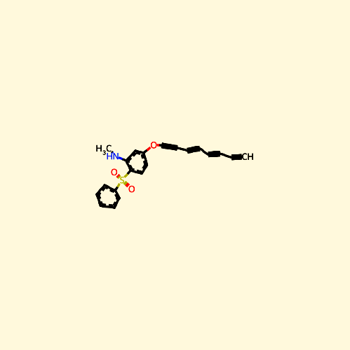 C#CC#CC#CC#COc1ccc(S(=O)(=O)c2ccccc2)c(NC)c1